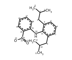 CC(C)Cc1cccc(CC(C)C)c1Nc1ccccc1[N+](=O)[O-]